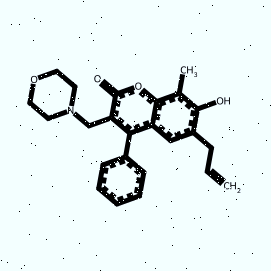 C=CCc1cc2c(-c3ccccc3)c(CN3CCOCC3)c(=O)oc2c(C)c1O